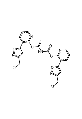 O=C(NC(=O)Oc1ncccc1-c1cc(CCl)no1)Oc1ncccc1-c1cc(CCl)no1